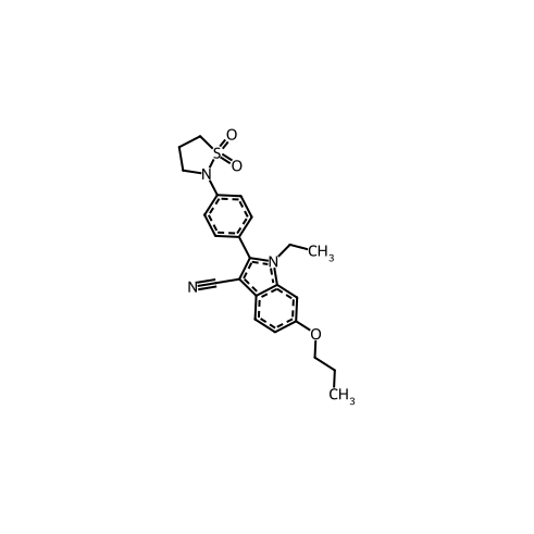 CCCOc1ccc2c(C#N)c(-c3ccc(N4CCCS4(=O)=O)cc3)n(CC)c2c1